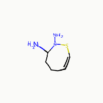 NC1CCC=CSN1N